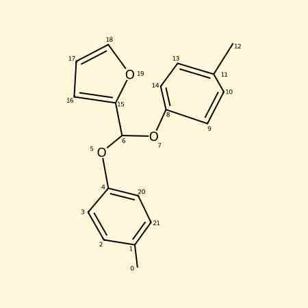 Cc1ccc(OC(Oc2ccc(C)cc2)c2ccco2)cc1